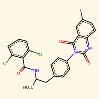 O=C(NC(Cc1ccc(-n2c(=O)[nH]c3ccc(I)cc3c2=O)cc1)C(=O)O)c1c(Cl)cccc1Cl